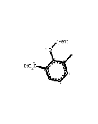 CCCCCOc1c(C)cccc1C(=O)OCC